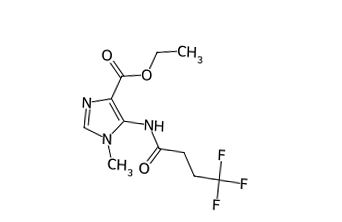 CCOC(=O)c1ncn(C)c1NC(=O)CCC(F)(F)F